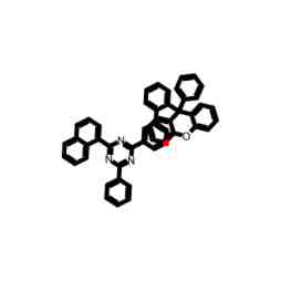 c1ccc(-c2nc(-c3cccc(-c4ccccc4C4(c5ccccc5)c5ccccc5Oc5ccccc54)c3)nc(-c3cccc4ccccc34)n2)cc1